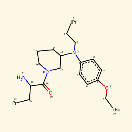 CC(C)CCN(c1ccc(OCC(C)(C)C)cc1)C1CCCN(C(=O)C(N)CC(C)C)C1